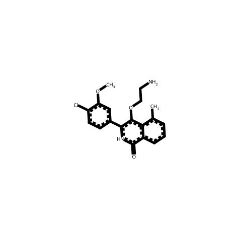 COc1cc(-c2[nH]c(=O)c3cccc(C)c3c2OCCN)ccc1Cl